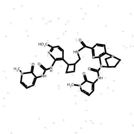 Cn1cccc(NC(=O)Nc2nc(C(=O)O)ccc2C2CCC2CNC(=O)c2ccc3c(n2)N(C(=O)Nc2cccn(C)c2=O)C2CCN3C2)c1=O